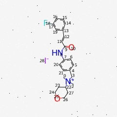 C[N+](C)(Cc1ccc(NC(=O)C=Cc2cccc(F)c2)cc1)C1CCOCC1.[I-]